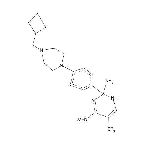 CNC1=NC(N)(c2ccc(N3CCN(CC4CCC4)CC3)cc2)NC=C1C(F)(F)F